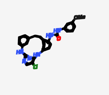 COc1cccc(NC(=O)Nc2ccc3cc2CCc2cccc(c2)Nc2ncc(Cl)c(n2)N3)c1